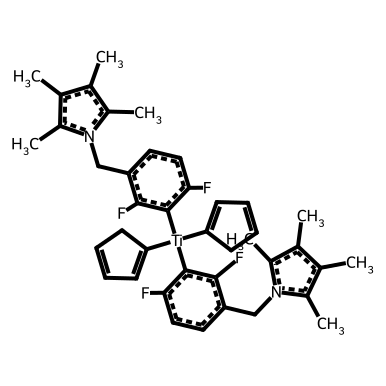 Cc1c(C)c(C)n(Cc2ccc(F)[c]([Ti]([C]3=CC=CC3)([C]3=CC=CC3)[c]3c(F)ccc(Cn4c(C)c(C)c(C)c4C)c3F)c2F)c1C